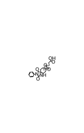 O=C(O)CCS(=O)(=O)N1CCC2(CC1)NC(=O)N(c1ccccc1)C2=O